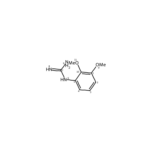 COc1cccc(NC(=N)N)c1OC